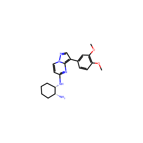 COc1ccc(-c2cnn3ccc(N[C@H]4CCCC[C@H]4N)nc23)cc1OC